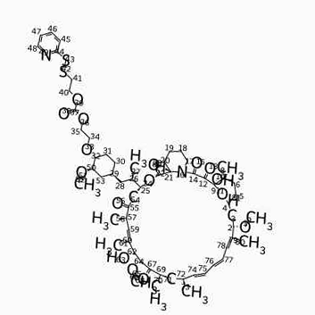 CO[C@H]1C[C@@H]2CC[C@@H](C)[C@@](O)(O2)C(=O)C(=O)N2CCCC[C@H]2C(=O)O[C@H]([C@H](C)C[C@@H]2CC[C@@H](OCCOC(=O)OCCSSc3ccccn3)[C@H](OC)C2)CC(=O)[C@H](C)/C=C(\C)[C@@H](O)[C@@H](OC)C(=O)[C@H](C)C[C@H](C)/C=C/C=C/C=C/1C